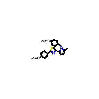 COc1ccc(Cn2c(C)ccc2-c2csc(-c3ccc(OC)cc3)n2)cc1